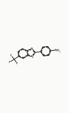 Nc1ccc(-c2nc3ccc(C(F)(F)F)cc3s2)cc1